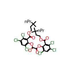 CCCC(C)(C)CCOC(=O)c1c(Cl)c(Cl)cc(Cl)c1OC(=O)C(=O)Oc1c(Cl)cc(Cl)c(Cl)c1C(=O)OCCC(C)(C)CCC